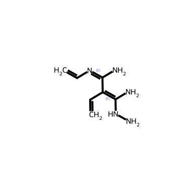 C=C/N=C(N)\C(C=C)=C(/N)NN